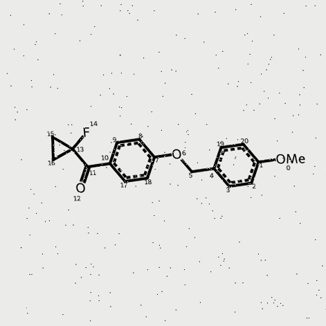 COc1ccc(COc2ccc(C(=O)C3(F)CC3)cc2)cc1